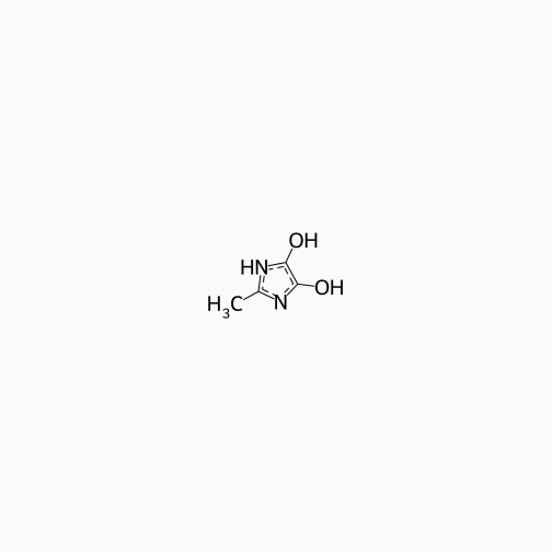 Cc1nc(O)c(O)[nH]1